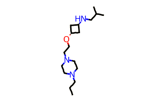 CCCN1CCN(CCO[C@H]2C[C@H](NCC(C)C)C2)CC1